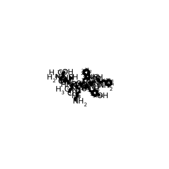 CC(C)[C@H](NC(=O)[C@H](CCCCN)NC(=O)[C@@H](Cc1c[nH]c2ccccc12)NC(=O)[C@H](Cc1ccc(O)cc1)NC(=O)[C@H](CS)NC(=O)[C@H](N)Cc1ccccc1)C(=O)N[C@@H](CS)C(=O)N[C@H](C(N)=O)[C@@H](C)O